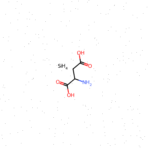 NC(CC(=O)O)C(=O)O.[SiH4]